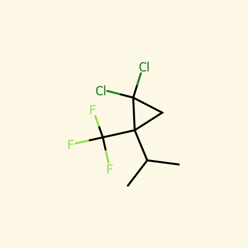 CC(C)C1(C(F)(F)F)CC1(Cl)Cl